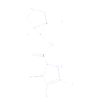 Cc1[nH]c(C(=O)NC2[C@H]3CNC[C@@H]23)c(Cl)c1Cl